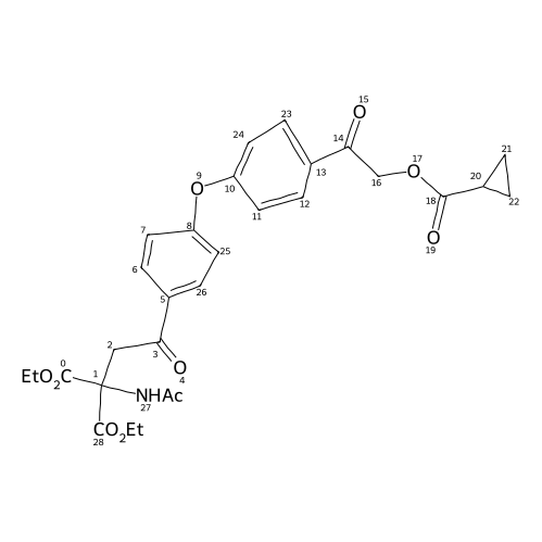 CCOC(=O)C(CC(=O)c1ccc(Oc2ccc(C(=O)COC(=O)C3CC3)cc2)cc1)(NC(C)=O)C(=O)OCC